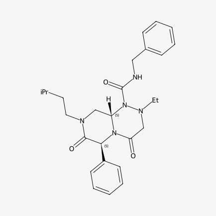 CCN1CC(=O)N2[C@@H](c3ccccc3)C(=O)N(CCC(C)C)C[C@@H]2N1C(=O)NCc1ccccc1